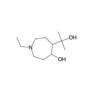 CCN1CCC(O)C(C(C)(C)O)CC1